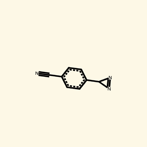 N#Cc1ccc(C2N=N2)cc1